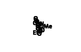 CCN1C(=O)C(C)(C)C(=O)N(C)c2cc(CN(CCn3ccc4occc4c3=O)Cc3cccnc3OC)ccc21